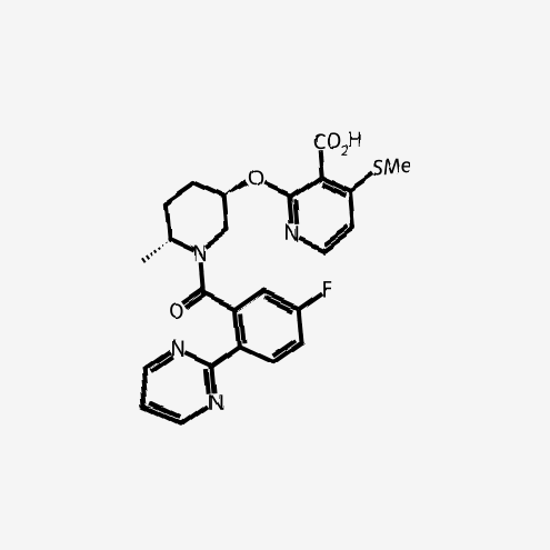 CSc1ccnc(O[C@@H]2CC[C@@H](C)N(C(=O)c3cc(F)ccc3-c3ncccn3)C2)c1C(=O)O